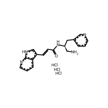 Cl.Cl.Cl.NC[C@H](Cc1cccnc1)NC(=O)C=Cc1c[nH]c2ncccc12